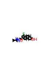 C[C@@]1(O)CC[C@H]2[C@H](CC[C@@H]3[C@@H]2CC[C@@]2(C)[C@H]3[C@H](F)C[C@@H]2C(=O)Cn2ncc(C3CC3)n2)C1